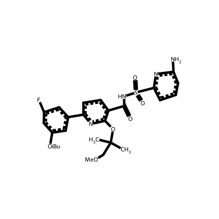 COCC(C)(C)Oc1nc(-c2cc(F)cc(OCC(C)C)c2)ccc1C(=O)NS(=O)(=O)c1cccc(N)n1